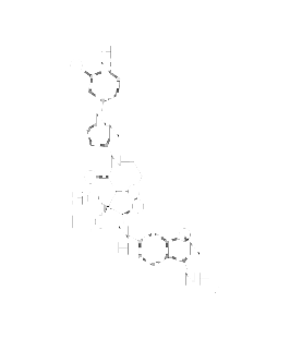 C[C@](O)(C(=O)Nc1ccc2c(N)noc2c1)C1OCCN(c2ccn(-c3cc[nH]c(=O)c3)n2)C1=O